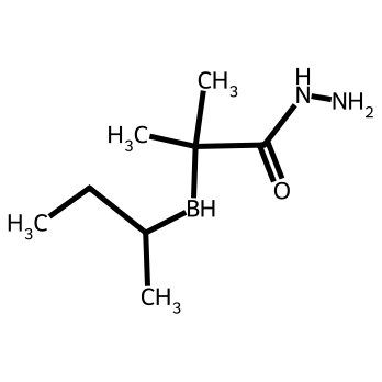 CCC(C)BC(C)(C)C(=O)NN